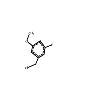 COc1cc(F)cc(CCl)c1